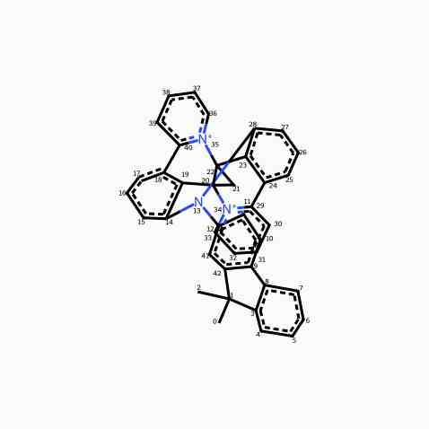 CC1(C)c2ccccc2-c2ccc(N3c4cccc5c4C46CC4(c4c(cccc43)-c3cccc[n+]36)[n+]3ccccc3-5)cc21